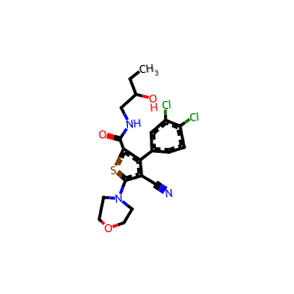 CCC(O)CNC(=O)c1sc(N2CCOCC2)c(C#N)c1-c1ccc(Cl)c(Cl)c1